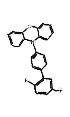 Fc1ccc(F)c(-c2ccc(N3c4ccccc4Oc4ccccc43)cc2)c1